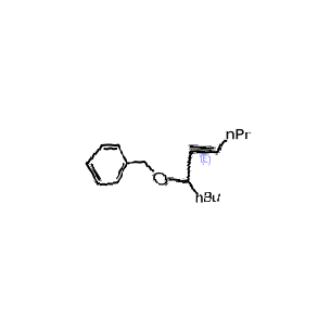 CCC/C=C/C(CCCC)OCc1ccccc1